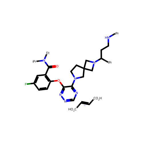 CCN(C(=O)c1cc(F)ccc1Oc1nncnc1N1CCC2(C1)CN(C(CCNC(C)C)C(C)C)C2)C(C)C.O=C(O)/C=C/C(=O)O